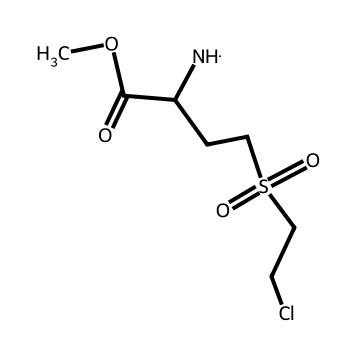 COC(=O)C([NH])CCS(=O)(=O)CCCl